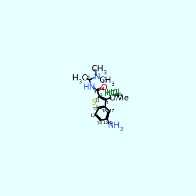 COc1c(C(=O)NC(C)N(C)C)sc2ccc(N)cc12.Cl.Cl